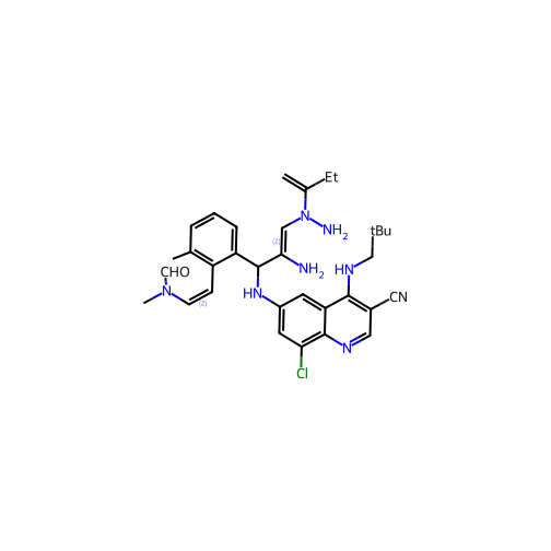 C=C(CC)N(N)/C=C(\N)C(Nc1cc(Cl)c2ncc(C#N)c(NCC(C)(C)C)c2c1)c1cccc(C)c1/C=C\N(C)C=O